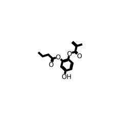 C=C(C)C(=O)Oc1ccc(O)cc1OC(=O)CCC